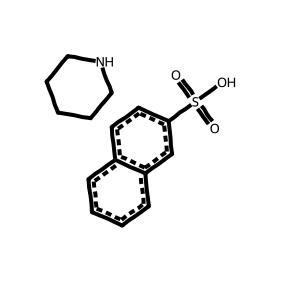 C1CCNCC1.O=S(=O)(O)c1ccc2ccccc2c1